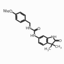 COc1ccc(CNC(=O)Nc2ccc3c(c2)NC(=O)C3(C)C)cc1